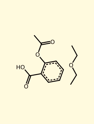 CC(=O)Oc1ccccc1C(=O)O.CCOCC